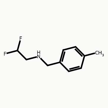 Cc1ccc(CNCC(F)F)cc1